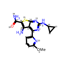 COc1cccc(-c2nc(NC3CC3)nc3sc(C(N)=O)c(N)c23)n1